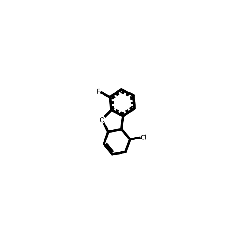 Fc1cccc2c1OC1C=CCC(Cl)C21